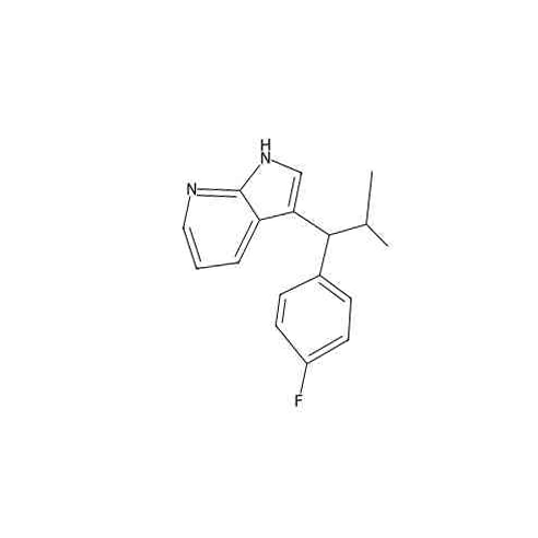 CC(C)C(c1ccc(F)cc1)c1c[nH]c2ncccc12